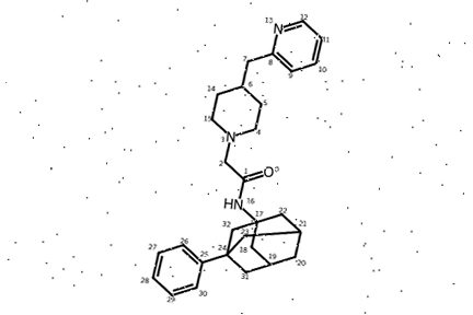 O=C(CN1CCC(Cc2ccccn2)CC1)NC12CC3CC(C1)CC(c1ccccc1)(C3)C2